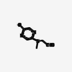 CN(CC=O)c1cnc([O])cn1